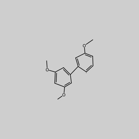 COc1cc[c]c(-c2cc(OC)cc(OC)c2)c1